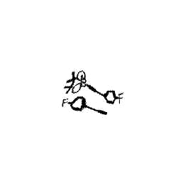 C#Cc1ccc(F)cc1.CC1(C)OB(C#Cc2ccc(F)cc2)OC1(C)C